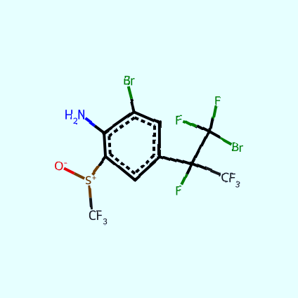 Nc1c(Br)cc(C(F)(C(F)(F)F)C(F)(F)Br)cc1[S+]([O-])C(F)(F)F